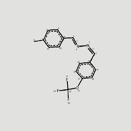 Cc1ccc(/C=N/N=C\c2ccc(OC(F)(F)F)cc2)cc1